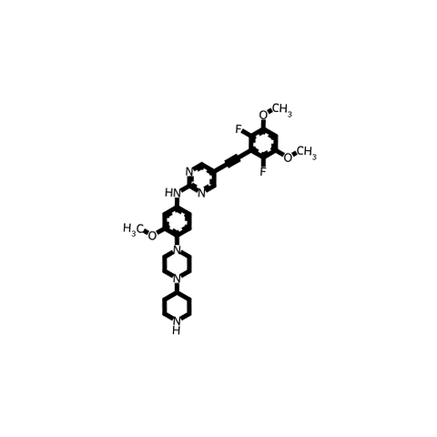 COc1cc(Nc2ncc(C#Cc3c(F)c(OC)cc(OC)c3F)cn2)ccc1N1CCN(C2CCNCC2)CC1